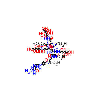 CC(=O)[C@H](CCC(=O)NC[C@H](O)[C@@H](O)[C@H](O)[C@H](O)CO)NC(=O)[C@H](CCC(=O)O)NC(=O)[C@H](CCC(=O)NC[C@H](O)[C@@H](O)[C@H](O)[C@H](O)CO)NC(=O)[C@H](CCC(=O)O)NC(=O)[C@H](CCC(=O)NC[C@H](O)[C@@H](O)[C@H](O)[C@H](O)CO)NC(=O)[C@H](CCC(=O)O)NC(=O)CC[C@H](NC(=O)c1ccc(NCc2cnc3nc(N)[nH]c(=O)c3n2)cc1)C(=O)O